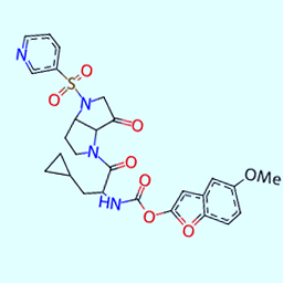 COc1ccc2oc(OC(=O)NC(CC3CC3)C(=O)N3CCC4C3C(=O)CN4S(=O)(=O)c3cccnc3)cc2c1